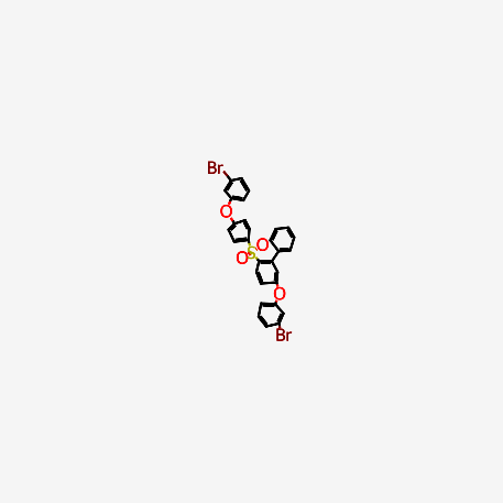 O=S(=O)(c1ccc(Oc2cccc(Br)c2)cc1)c1ccc(Oc2cccc(Br)c2)cc1-c1ccccc1